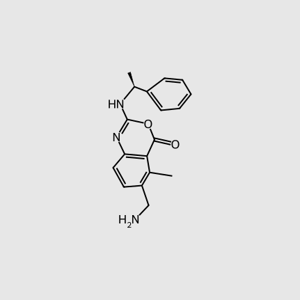 Cc1c(CN)ccc2nc(N[C@@H](C)c3ccccc3)oc(=O)c12